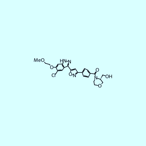 COCCOc1cc2[nH]nc(-c3cc(-c4ccc(C(=O)N5CCOC[C@@H]5CO)cc4)no3)c2cc1Cl